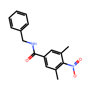 Cc1cc(C(=O)NCc2ccccc2)cc(C)c1[N+](=O)[O-]